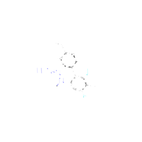 C=NN(N)c1cc(CC)c(C)cc1-c1ccc(F)c(C)c1F